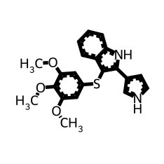 COc1cc(Sc2c(-c3cc[nH]c3)[nH]c3ccccc23)cc(OC)c1OC